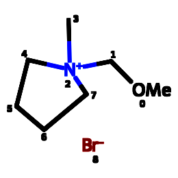 COC[N+]1(C)CCCC1.[Br-]